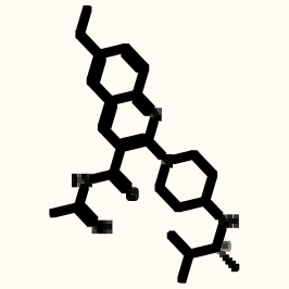 CCc1ccc2nc(N3CCC(N[C@H](C)C(C)C)CC3)c(C(=O)NC(C)=N)cc2c1